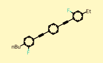 CCCCc1ccc(C#Cc2ccc(C#Cc3ccc(CC)cc3F)cc2)cc1F